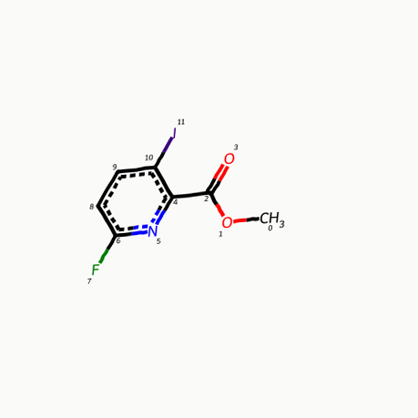 COC(=O)c1nc(F)ccc1I